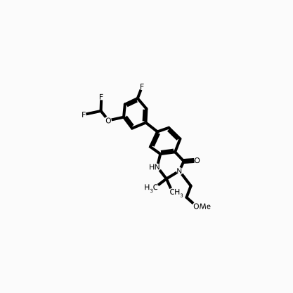 COCCN1C(=O)c2ccc(-c3cc(F)cc(OC(F)F)c3)cc2NC1(C)C